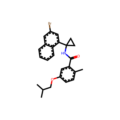 Cc1ccc(OCC(C)C)cc1C(=O)NC1(c2cc(Br)cc3ccccc23)CC1